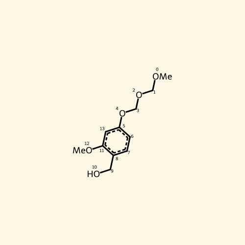 COCOCOc1ccc(CO)c(OC)c1